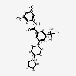 O=C(Nc1cc(Cl)cc(Cl)c1)c1cc(N2CCC(N3CCCC3)CC2)cc(C(F)(F)F)c1